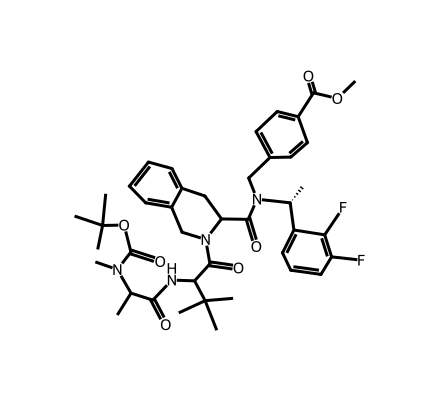 COC(=O)c1ccc(CN(C(=O)C2Cc3ccccc3CN2C(=O)C(NC(=O)C(C)N(C)C(=O)OC(C)(C)C)C(C)(C)C)[C@H](C)c2cccc(F)c2F)cc1